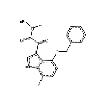 CCCN(C)C(=O)C(=O)c1c[nH]c2c(C)ccc(OCc3ccccc3)c12